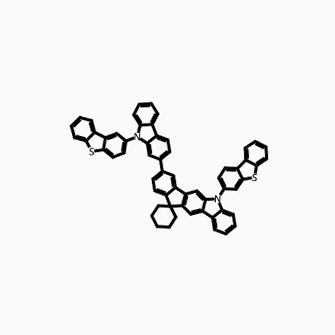 c1ccc2c(c1)sc1cc(-n3c4ccccc4c4cc5c(cc43)-c3cc(-c4ccc6c7ccccc7n(-c7ccc8sc9ccccc9c8c7)c6c4)ccc3C53CCCCC3)ccc12